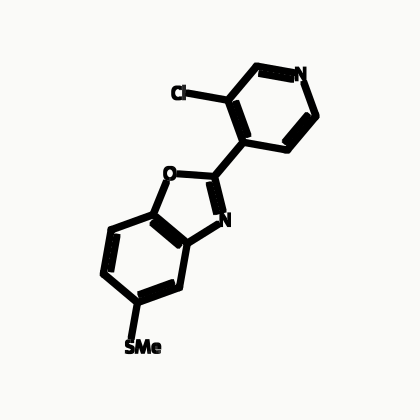 CSc1ccc2oc(-c3ccncc3Cl)nc2c1